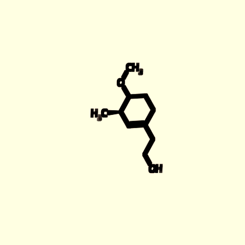 COC1CCC(CCO)=C[C@H]1C